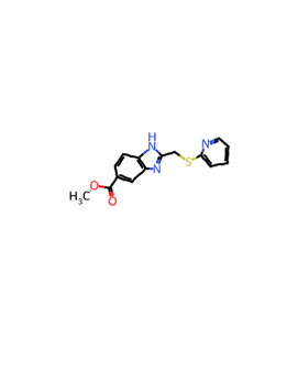 COC(=O)c1ccc2[nH]c(CSc3ccccn3)nc2c1